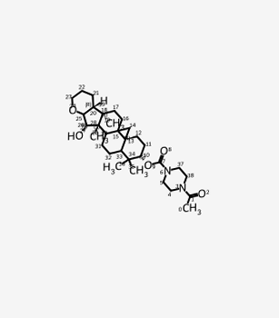 CC(=O)N1CCN(C(=O)O[C@H]2CC[C@]34CC35CC[C@]3(C)[C@H]6CCCOC6[C@H](O)[C@@]3(C)C5CCC4C2(C)C)CC1